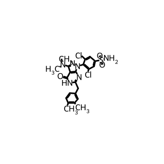 Cc1ccc(Cc2nc3c(c(N(C)C)nn3-c3c(Cl)cc(S(N)(=O)=O)cc3Cl)c(=O)[nH]2)cc1C